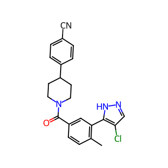 Cc1ccc(C(=O)N2CCC(c3ccc(C#N)cc3)CC2)cc1-c1[nH]ncc1Cl